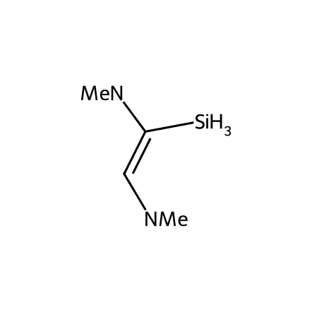 CNC=C([SiH3])NC